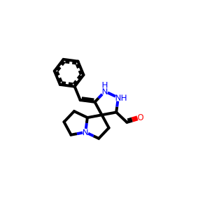 O=CC1NNC(=Cc2ccccc2)C12CCN1CCCC12